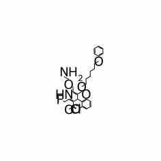 COC(=O)C1=C(CF)NC(COCCN)=C(C(=O)OCCCCCCOc2ccccc2)C1c1ccccc1Cl